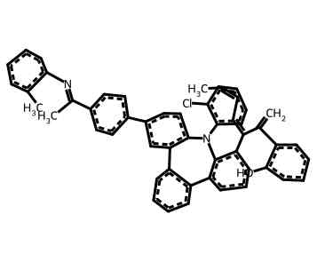 C=C(/C(=C\C=C/C)c1cccc2c1N(c1ccccc1Cl)c1ccc(-c3ccc(/C(C)=N/c4ccccc4C)cc3)cc1-c1ccccc1-2)c1ccccc1O